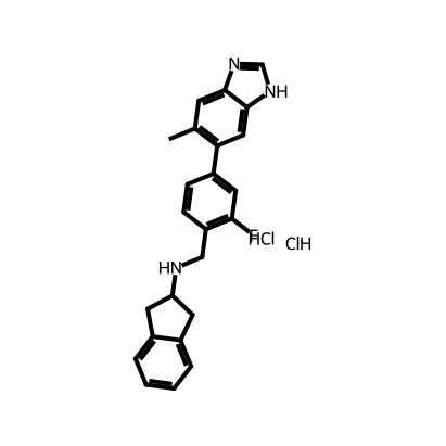 Cc1cc2nc[nH]c2cc1-c1ccc(CNC2Cc3ccccc3C2)c(F)c1.Cl.Cl